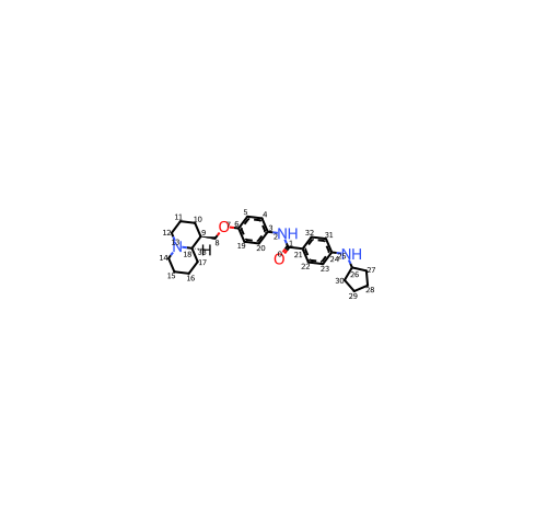 O=C(Nc1ccc(OC[C@@H]2CCCN3CCCC[C@H]23)cc1)c1ccc(NC2CCCC2)cc1